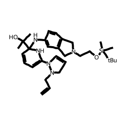 C=CCN1CC=CN1C1=CC=CC(Nc2ccc3c(c2)CN(CCO[Si](C)(C)C(C)(C)C)C3)(C(C)(C)O)N1